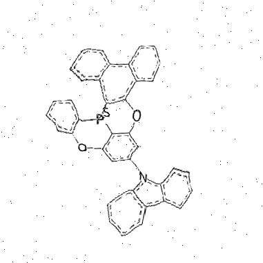 S=P12c3ccccc3Oc3cc(-n4c5ccccc5c5ccccc54)cc(c31)Oc1c2c2ccccc2c2ccccc12